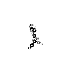 CCc1cc(-c2ccc(Cl)cc2)nnc1Nc1ccc(Oc2ccnc3cc(OC)cnc23)nc1